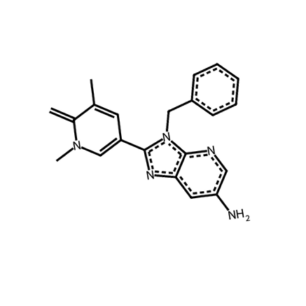 C=C1C(C)=CC(c2nc3cc(N)cnc3n2Cc2ccccc2)=CN1C